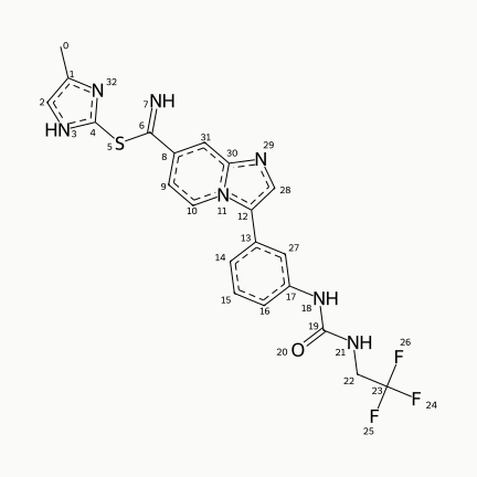 Cc1c[nH]c(SC(=N)c2ccn3c(-c4cccc(NC(=O)NCC(F)(F)F)c4)cnc3c2)n1